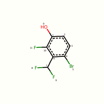 Oc1ccc(Br)c(C(F)F)c1F